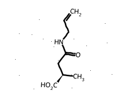 C=CCNC(=O)C[C@@H](C)C(=O)O